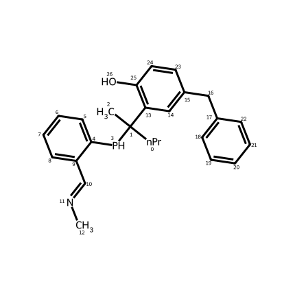 CCCC(C)(Pc1ccccc1/C=N/C)c1cc(Cc2ccccc2)ccc1O